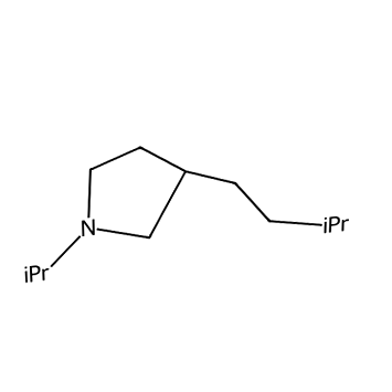 CC(C)CCC1CCN(C(C)C)C1